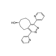 O[C@H]1CCCc2c(-c3ccccn3)nnc(-c3ccccn3)c2CC1